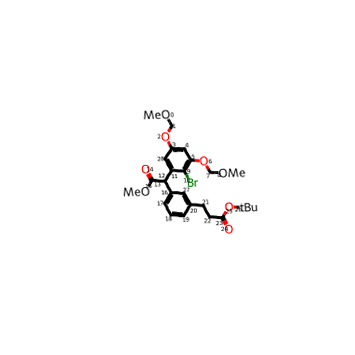 COCOc1cc(OCOC)c(Br)c(C(C(=O)OC)c2cccc(CCC(=O)OC(C)(C)C)c2)c1